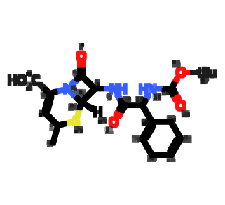 CC1C=C(C(=O)O)N2C(=O)C(NC(=O)C(NC(=O)OC(C)(C)C)C3=CCC=CC3)[C@@H]2S1